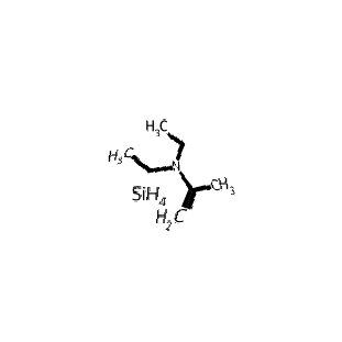 C=C(C)N(CC)CC.[SiH4]